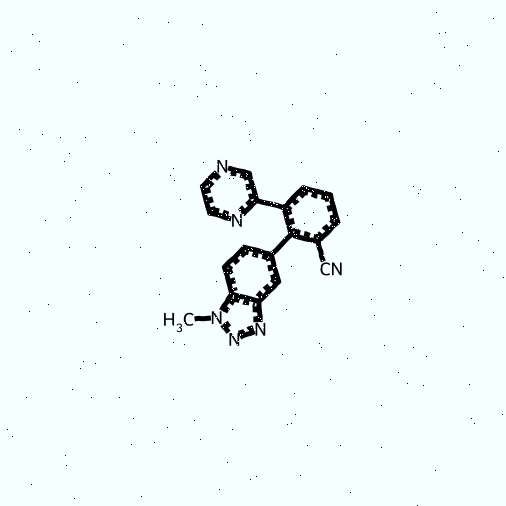 Cn1nnc2cc(-c3c(C#N)cccc3-c3cnccn3)ccc21